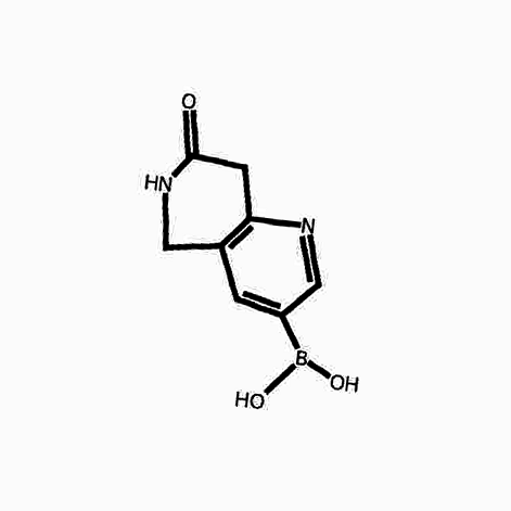 O=C1Cc2ncc(B(O)O)cc2CN1